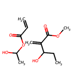 C=C(C(=O)OC)C(O)CC.C=CC(=O)OC(C)O